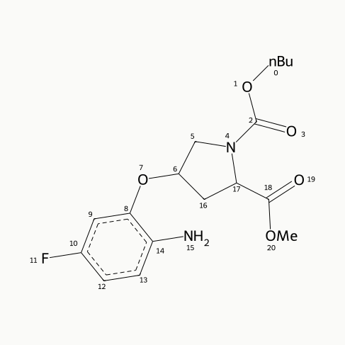 CCCCOC(=O)N1CC(Oc2cc(F)ccc2N)CC1C(=O)OC